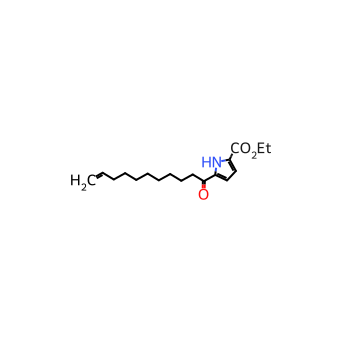 C=CCCCCCCCCC(=O)c1ccc(C(=O)OCC)[nH]1